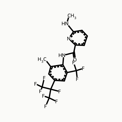 CNc1cccc(C(=O)Nc2c(C)cc(C(F)(C(F)(F)F)C(F)(F)F)cc2C(F)(F)F)n1